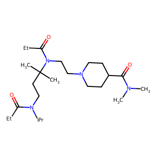 CCC(=O)N(CCC(C)(C)N(CCN1CCC(C(=O)N(C)C)CC1)C(=O)CC)C(C)C